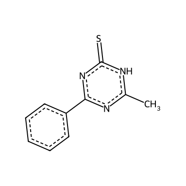 Cc1nc(-c2ccccc2)nc(=S)[nH]1